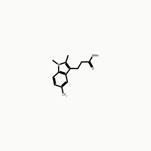 CNC(=O)CCc1c(C)n(C)c2ccc(C(F)(F)F)cc12